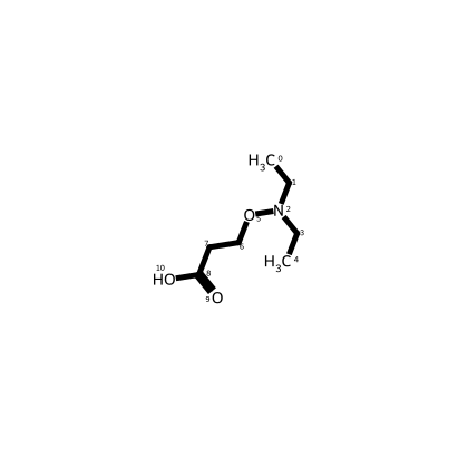 CCN(CC)OCCC(=O)O